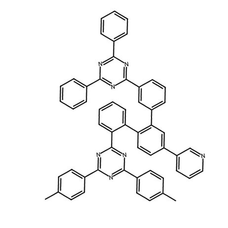 Cc1ccc(-c2nc(-c3ccc(C)cc3)nc(-c3ccccc3-c3ccc(-c4cccnc4)cc3-c3cccc(-c4nc(-c5ccccc5)nc(-c5ccccc5)n4)c3)n2)cc1